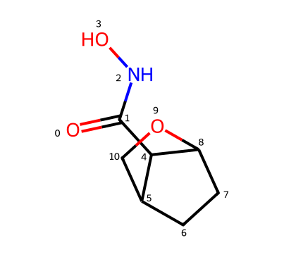 O=C(NO)C1C2CCC1OC2